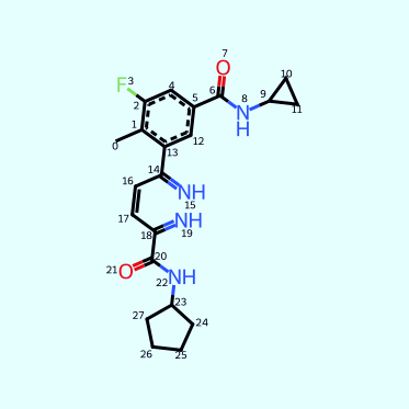 Cc1c(F)cc(C(=O)NC2CC2)cc1C(=N)/C=C\C(=N)C(=O)NC1CCCC1